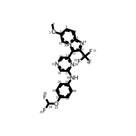 COc1ccc2nc(C(F)(F)F)c(-c3cncc(Nc4ccc(OC(F)F)cc4)n3)n2c1